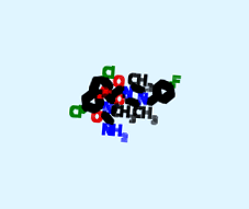 C[C@@H]1CN(Cc2ccc(F)cc2)[C@@H](C)CN1C(=O)COc1ccc(Cl)cc1[N+](C)(C(=O)CN)C(=O)c1cccc(Cl)c1